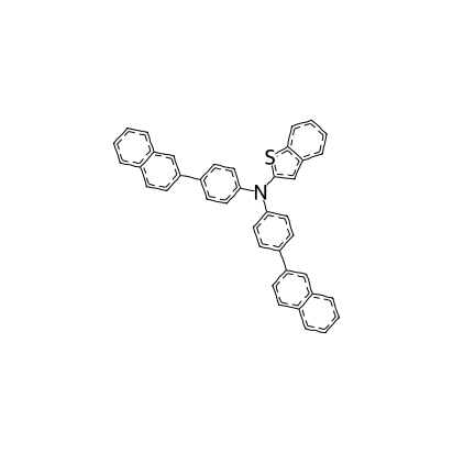 c1ccc2cc(-c3ccc(N(c4ccc(-c5ccc6ccccc6c5)cc4)c4cc5ccccc5s4)cc3)ccc2c1